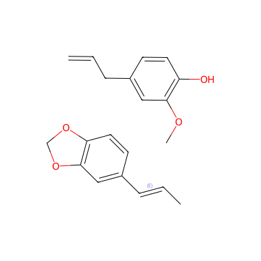 C/C=C/c1ccc2c(c1)OCO2.C=CCc1ccc(O)c(OC)c1